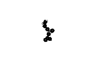 c1ccc(N(c2ccc(-c3ccc4oc5ccncc5c4c3)cc2)c2ccc(-c3cc4ccccc4c4ccccc34)cc2)cc1